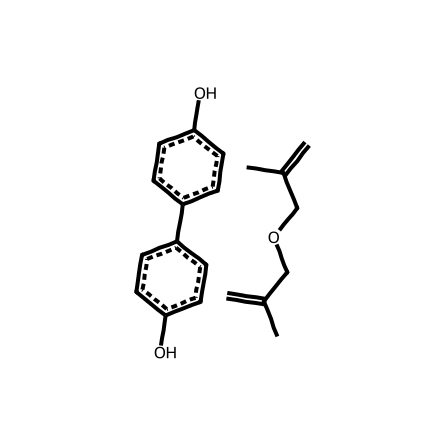 C=C(C)COCC(=C)C.Oc1ccc(-c2ccc(O)cc2)cc1